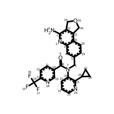 Nc1nc2cc(CN(C(=O)c3ccc(C(F)(F)F)nc3)c3cccnc3C3CC3)ccc2c2c1COC2